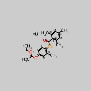 CCOC(C)Oc1ccc(PC(=O)c2c(C)cc(C)cc2C)c(C)c1.[Li]